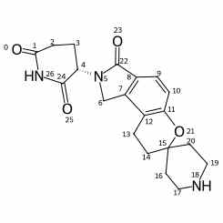 O=C1CC[C@H](N2Cc3c(ccc4c3CCC3(CCNCC3)O4)C2=O)C(=O)N1